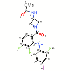 COC(=O)NC1CN(C(=O)c2ccc(F)c(F)c2Nc2ccc(I)cc2F)C1